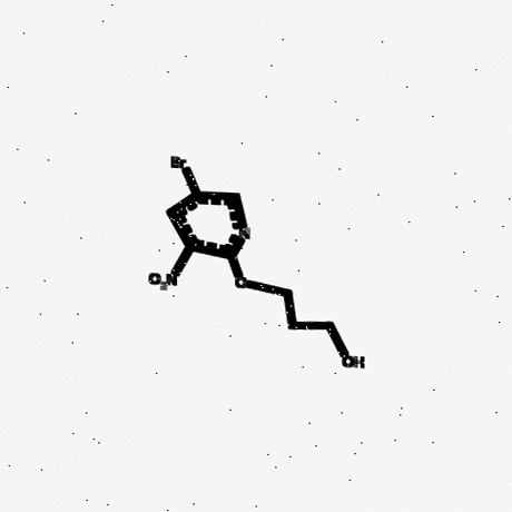 O=[N+]([O-])c1cc(Br)cnc1OCCCO